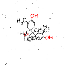 COC(=O)C(C)(C1(C)C=C(C)C(O)=CC1)C1(C)C=C(C)C(O)=CC1